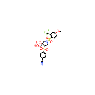 COc1ccc(S(=O)(=O)N2C[C@H](S(=O)(=O)c3ccc(C#N)cc3)[C@](O)(CO)C2)c(C(F)(F)F)c1